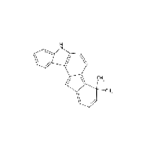 CC1(C)C=CC=C2C=c3c(ccc4[nH]c5ccccc5c34)=C21